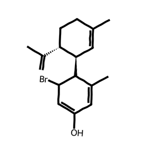 C=C(C)[C@@H]1CCC(C)=C[C@H]1C1C(C)=CC(O)=CC1Br